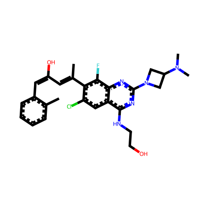 C/C(=C\C(O)=C/c1ccccc1C)c1c(Cl)cc2c(NCCO)nc(N3CC(N(C)C)C3)nc2c1F